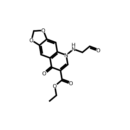 CCOC(=O)c1cn(NCC=O)c2cc3c(cc2c1=O)OCO3